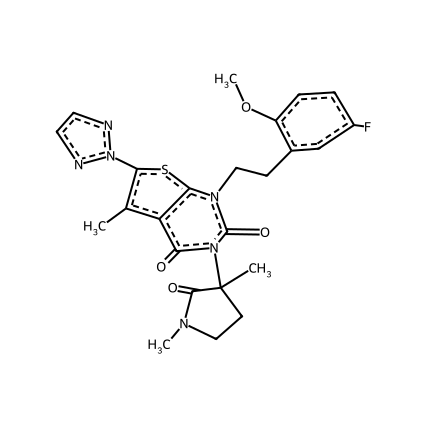 COc1ccc(F)cc1CCn1c(=O)n(C2(C)CCN(C)C2=O)c(=O)c2c(C)c(-n3nccn3)sc21